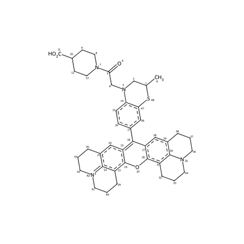 CC1CN(CC(=O)N2CCC(C(=O)O)CC2)c2ccc(C3=c4cc5c6c(c4Oc4c3cc3c7c4CCCN7CCC3)CCC[N+]=6CCC5)cc2S1